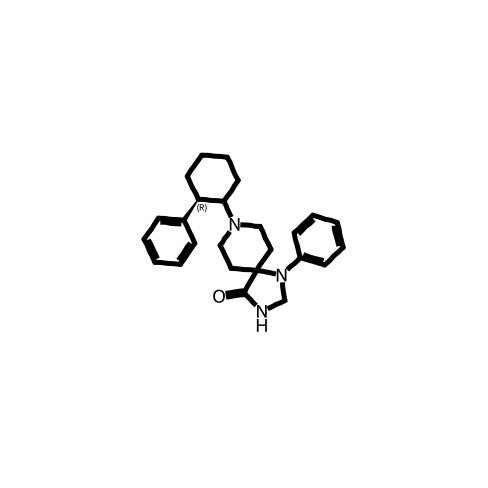 O=C1NCN(c2ccccc2)C12CCN(C1CCCC[C@@H]1c1ccccc1)CC2